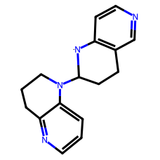 c1cnc2c(c1)N(C1CCc3cnccc3[N]1)CCC2